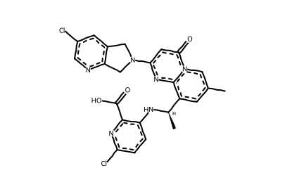 Cc1cc([C@@H](C)Nc2ccc(Cl)nc2C(=O)O)c2nc(N3Cc4cc(Cl)cnc4C3)cc(=O)n2c1